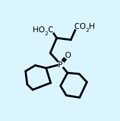 O=C(O)CC(CP(=O)(C1CCCCC1)C1CCCCC1)C(=O)O